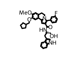 COc1cc2c(cc1OCC1CCCC1)-c1cc(C(=O)N[C@@H](CO)Cc3c[nH]c4ccccc34)c(-c3cccc(F)c3)n1CC2